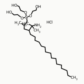 CCCCCCCCCCCCCCCCC(CC(C)C[Si](OCCO)(OCCO)OCCO)C(C)(C)N.Cl